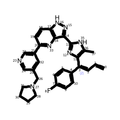 C=C/C=C(/c1ccc(F)cc1)c1nc(-c2n[nH]c3ccc(-c4cncc(CN5CCCC5)c4)nc23)[nH]c1C